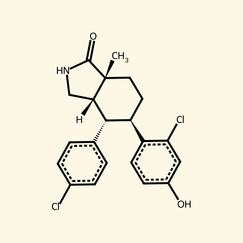 C[C@@]12CC[C@@H](c3ccc(O)cc3Cl)[C@H](c3ccc(Cl)cc3)[C@@H]1CNC2=O